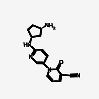 N#Cc1cccn(-c2ccc(N[C@H]3CC[C@H](N)C3)nc2)c1=O